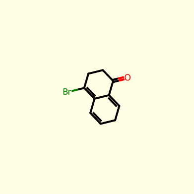 O=C1CCC(Br)=C2C=CCC=C12